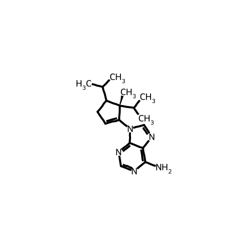 CC(C)C1CC=C(n2cnc3c(N)ncnc32)[C@@]1(C)C(C)C